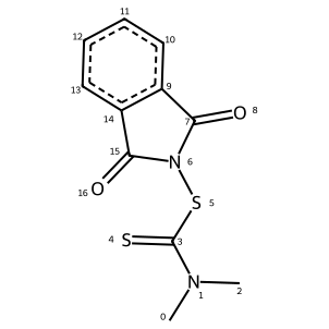 CN(C)C(=S)SN1C(=O)c2ccccc2C1=O